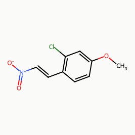 COc1ccc(C=C[N+](=O)[O-])c(Cl)c1